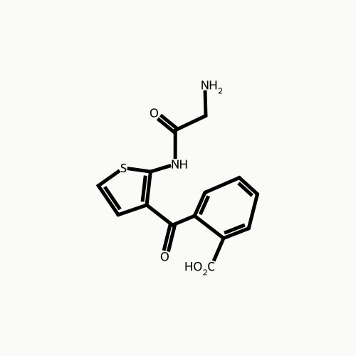 NCC(=O)Nc1sccc1C(=O)c1ccccc1C(=O)O